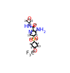 Nc1cc(S(=O)(=O)c2ccc(OC(F)(F)F)cc2)cnc1C(=O)NC1COC1